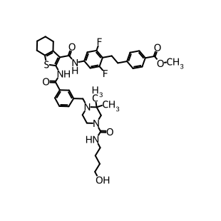 COC(=O)c1ccc(CCc2c(F)cc(NC(=O)c3c(NC(=O)c4cccc(CN5CCN(C(=O)NCCCCO)CC5(C)C)c4)sc4c3CCCC4)cc2F)cc1